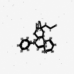 CCCC1(C)CC2=C(CN1)N(c1ccccc1)C=C1N=CC=CN12